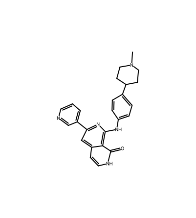 CN1CCC(c2ccc(Nc3nc(-c4cccnc4)cc4cc[nH]c(=O)c34)cc2)CC1